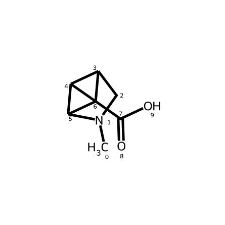 CN1CC2C3C1C23C(=O)O